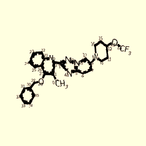 Cc1c(-c2nc3ccc(N4CCC(OC(F)(F)F)CC4)cn3n2)nc2ccccc2c1OCc1ccccc1